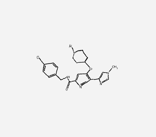 CC(=O)N1CCC(Oc2cc(C(=O)NCc3ccc(Cl)cc3)ncc2-c2cn(C)cn2)CC1